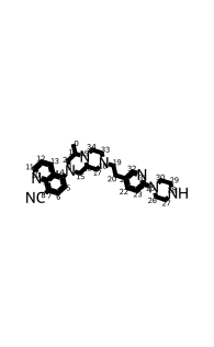 CC1CN(c2ccc(C#N)c3ncccc23)CC2CN(CCc3ccc(N4CCNCC4)nc3)CCN12